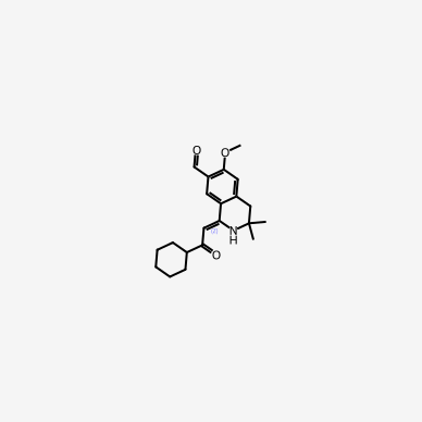 COc1cc2c(cc1C=O)/C(=C/C(=O)C1CCCCC1)NC(C)(C)C2